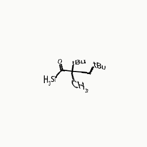 CC(C)(C)CC(C)(C(=O)[SiH3])C(C)(C)C